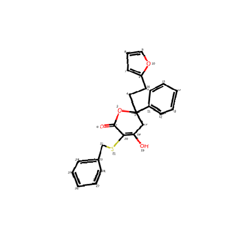 O=C1OC(CCc2ccco2)(c2ccccc2)CC(O)=C1SCc1ccccc1